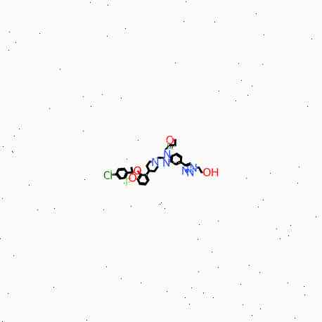 CC1(c2ccc(Cl)cc2F)Oc2cccc(C3CCN(Cc4nc5cc(-c6cn(CCO)nn6)ccc5n4C[C@@H]4CCO4)CC3)c2O1